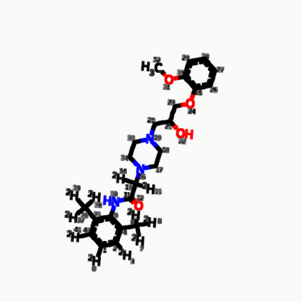 [2H]c1c([2H])c(C([2H])([2H])[2H])c(NC(=O)C([2H])([2H])N2CCN(CC(O)COc3ccccc3OC)CC2)c(C([2H])([2H])[2H])c1[2H]